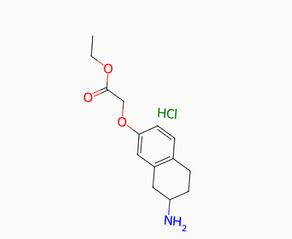 CCOC(=O)COc1ccc2c(c1)CC(N)CC2.Cl